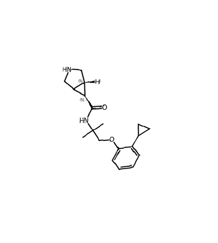 CC(C)(COc1ccccc1C1CC1)NC(=O)[C@H]1C2CNC[C@@H]21